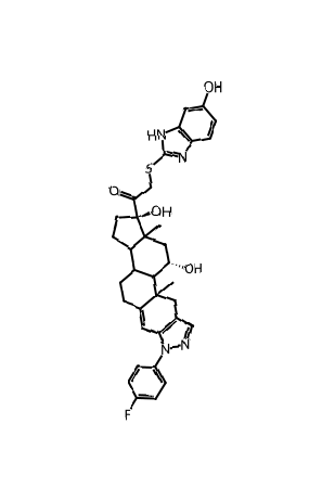 CC12Cc3cnn(-c4ccc(F)cc4)c3C=C1CCC1C2[C@@H](O)CC2(C)C1CC[C@]2(O)C(=O)CSc1nc2ccc(O)cc2[nH]1